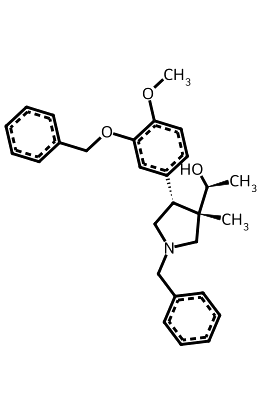 COc1ccc([C@H]2CN(Cc3ccccc3)C[C@@]2(C)[C@H](C)O)cc1OCc1ccccc1